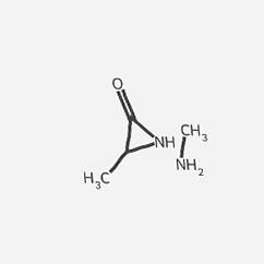 CC1NC1=O.CN